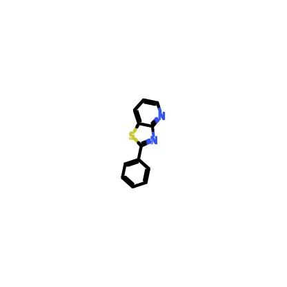 c1ccc(-c2nc3ncccc3s2)cc1